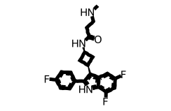 CNCCC(=O)N[C@H]1C[C@@H](c2c(-c3ccc(F)cc3)[nH]c3c(F)cc(F)cc32)C1